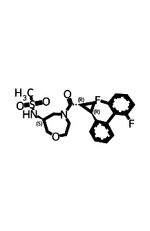 CS(=O)(=O)N[C@@H]1COCCN(C(=O)[C@@H]2C[C@H]2c2ccccc2-c2c(F)cccc2F)C1